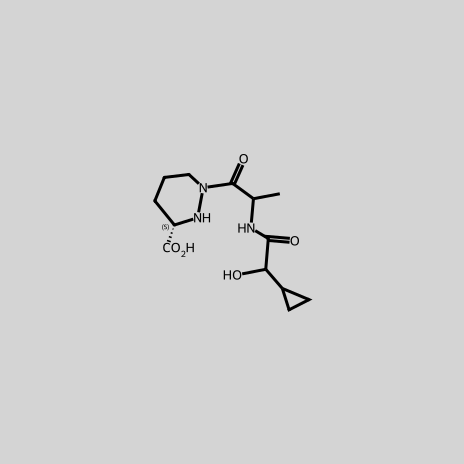 CC(NC(=O)C(O)C1CC1)C(=O)N1CCC[C@@H](C(=O)O)N1